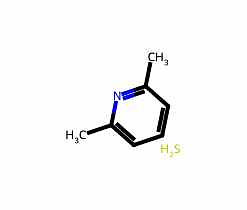 Cc1cccc(C)n1.S